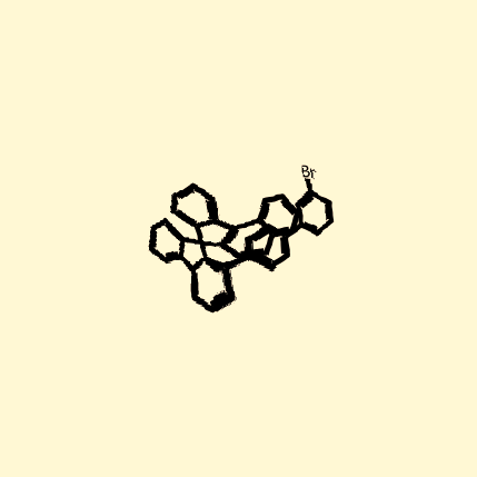 Brc1cccc(-c2ccc(-c3cccc4c3C3(c5ccccc5-4)c4ccccc4-c4c3ccc3ccccc43)cc2)c1